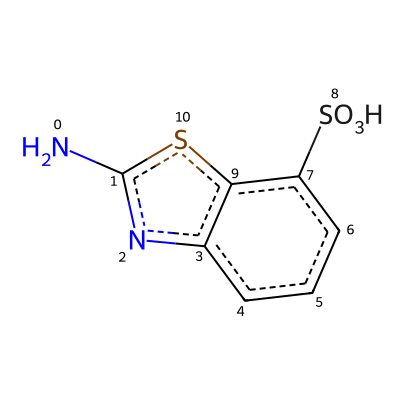 Nc1nc2cccc(S(=O)(=O)O)c2s1